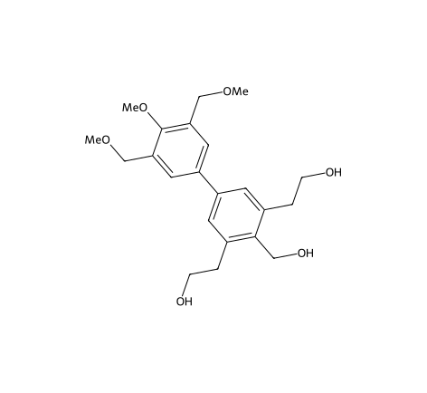 COCc1cc(-c2cc(CCO)c(CO)c(CCO)c2)cc(COC)c1OC